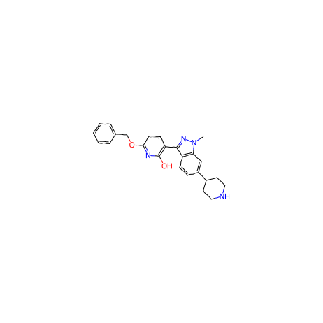 Cn1nc(-c2ccc(OCc3ccccc3)nc2O)c2ccc(C3CCNCC3)cc21